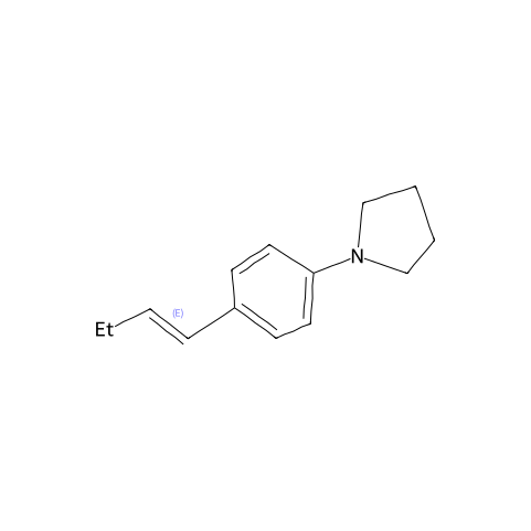 CC/C=C/c1ccc(N2CCCC2)cc1